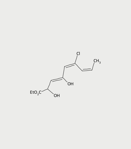 C\C=C/C(Cl)=C\C(O)=C\C(O)C(=O)OCC